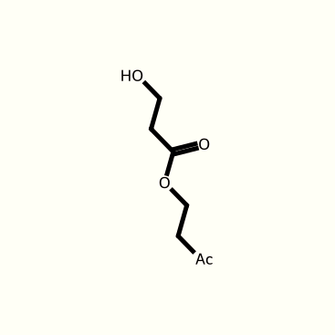 CC(=O)CCOC(=O)CCO